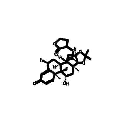 CC1(C)O[C@@H]2C[C@H]3[C@@H]4C[C@H](F)C5=CC(=O)C=C[C@]5(C)[C@@]4(F)[C@@H](O)C[C@]3(C)[C@]2(C(=O)SC2CCOC2=O)O1